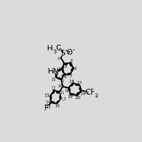 C[S+]([O-])Cc1cccc2c(C(c3ccc(F)cc3)c3ccc(C(F)(F)F)cc3)c[nH]c12